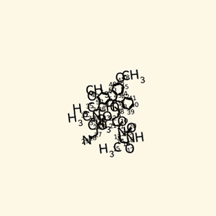 COc1ccc(C(OCC2OC(n3cc(C)c(=O)[nH]c3=O)CC2OP(OCCC#N)N(C(C)C)C(C)C)(c2ccccc2)c2ccc(OC)cc2)cc1